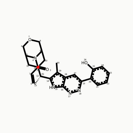 C=CC(=O)N1C2COCC1CN([C@@H](C)c1[nH]c3nnc(-c4ccccc4O)cc3c1C)C2